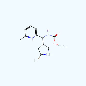 Cc1cccc(C(C2CNC(Br)C2)N(I)C(=O)OC(C)(C)C)n1